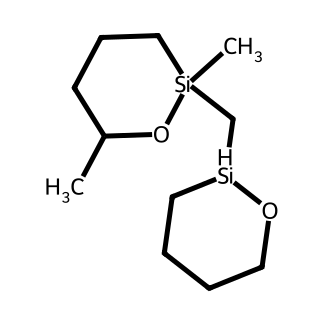 CC1CCC[Si](C)(C[SiH]2CCCCO2)O1